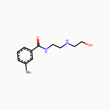 CC(C)(C)c1cccc(C(=O)NCCNCCO)c1